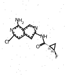 Nc1nc(Cl)cc2cc(NC(=O)[C@@H]3C[C@H]3F)ncc12